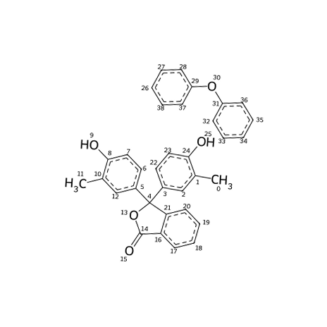 Cc1cc(C2(c3ccc(O)c(C)c3)OC(=O)c3ccccc32)ccc1O.c1ccc(Oc2ccccc2)cc1